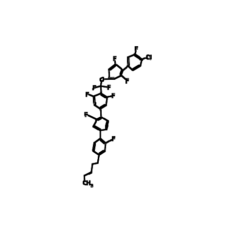 CCCCCc1ccc(-c2ccc(-c3cc(F)c(C(F)(F)Oc4cc(F)c(-c5ccc(Cl)c(F)c5)c(F)c4)c(F)c3)c(F)c2)c(F)c1